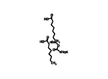 CCCCCCCC(=O)O.CCCCCCCC(=O)O.CCCCCCCCCCOC(=O)CCCCCCC